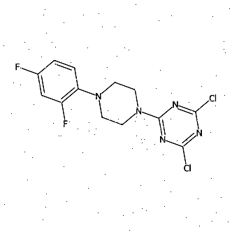 Fc1ccc(N2CCN(c3nc(Cl)nc(Cl)n3)CC2)c(F)c1